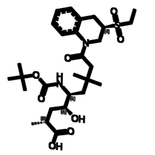 CCS(=O)(=O)[C@@H]1Cc2ccccc2N(C(=O)CC(C)(C)C[C@H](NC(=O)OC(C)(C)C)[C@@H](O)C[C@@H](C)C(=O)O)C1